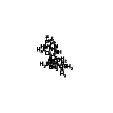 BC(B)(B)N1CC[C@@](c2nc(Cl)c(Nc3ncc(C(F)(F)F)c(NC)n3)s2)(C(B)(B)B)C1=O